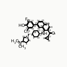 CN(C)C1CCN(C[C@H]2CC[C@H](Nc3c(C(=O)C4CC4)cnc4ccc(-c5cc(F)c(O)c(Cl)c5)cc34)CC2)C1